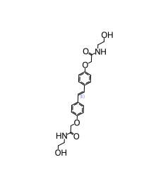 O=C(COc1ccc(/C=C/c2ccc(OCC(=O)NCCO)cc2)cc1)NCCO